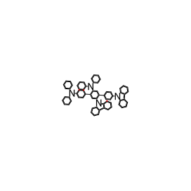 c1ccc(N(c2ccccc2)c2ccc(-c3cc(-n4c5ccccc5c5ccccc54)c(-c4ccc(-n5c6ccccc6c6ccccc65)cc4)cc3N(c3ccccc3)c3ccccc3)cc2)cc1